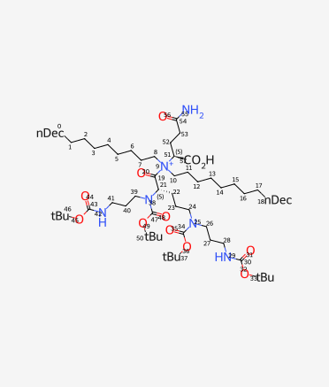 CCCCCCCCCCCCCCCCCC[N+](CCCCCCCCCCCCCCCCCC)(C(=O)[C@H](CCCN(CCCNC(=O)OC(C)(C)C)C(=O)OC(C)(C)C)N(CCCNC(=O)OC(C)(C)C)C(=O)OC(C)(C)C)[C@@H](CCC(N)=O)C(=O)O